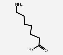 NCCCCCCC(=O)S